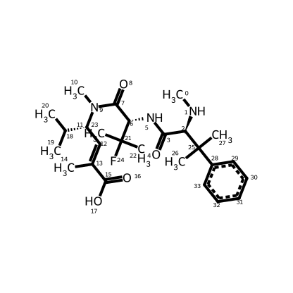 CN[C@H](C(=O)N[C@@H](C(=O)N(C)[C@H](/C=C(\C)C(=O)O)C(C)C)C(C)(C)F)C(C)(C)c1ccccc1